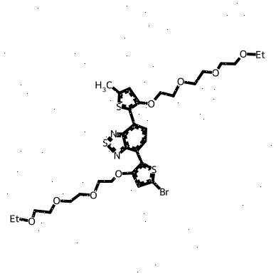 CCOCCOCCOCCOc1cc(C)sc1-c1ccc(-c2sc(Br)cc2OCCOCCOCCOCC)c2nsnc12